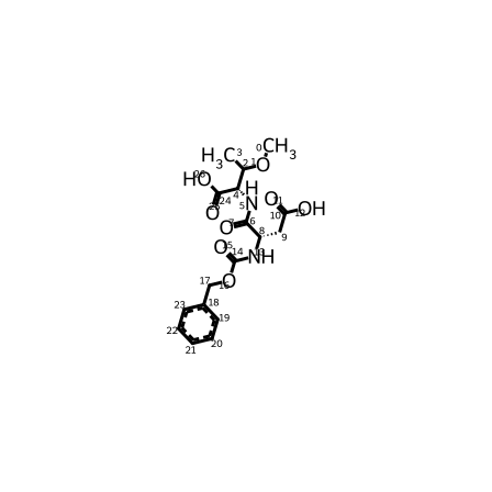 COC(C)[C@H](NC(=O)[C@H](CC(=O)O)NC(=O)OCc1ccccc1)C(=O)O